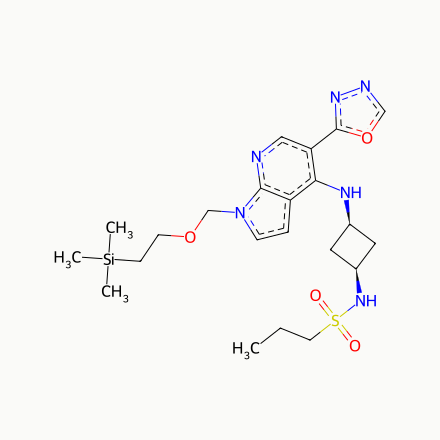 CCCS(=O)(=O)N[C@H]1C[C@@H](Nc2c(-c3nnco3)cnc3c2ccn3COCC[Si](C)(C)C)C1